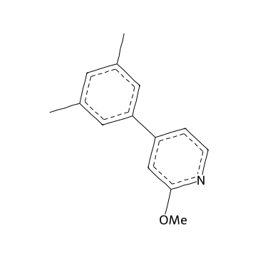 COc1cc(-c2cc(C)cc(C)c2)ccn1